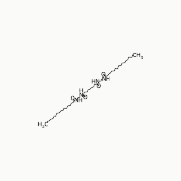 CCCCCCCCCCCCCCCCCC(=O)NCCNC(=O)CCCCCCCC(=O)NCCNC(=O)CCCCCCCCCCCCCCCCC